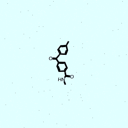 CNC(=O)c1ccc(C(=O)c2ccc(C)cc2)cc1